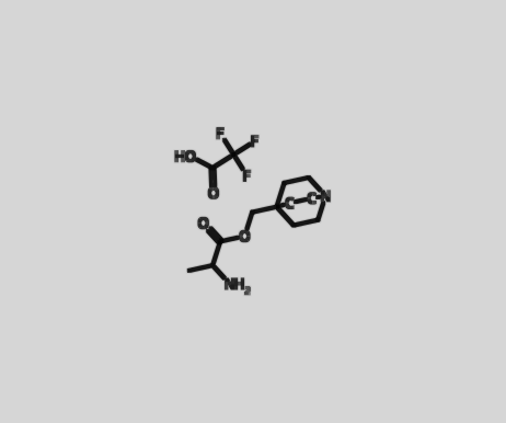 CC(N)C(=O)OCC12CCN(CC1)CC2.O=C(O)C(F)(F)F